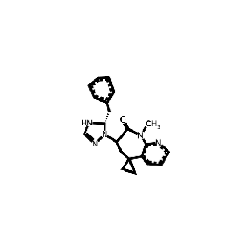 CN1C(=O)C(N2N=CN[C@@H]2Cc2ccccc2)CC2(CC2)c2cccnc21